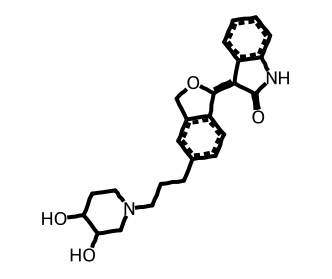 O=C1Nc2ccccc2/C1=C1\OCc2cc(CCCN3CCC(O)C(O)C3)ccc21